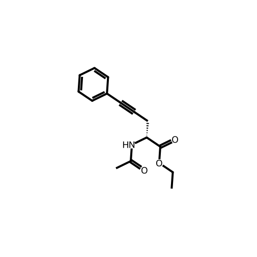 CCOC(=O)[C@@H](CC#Cc1ccccc1)NC(C)=O